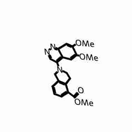 COC(=O)c1cccc2c1CCN(c1cnnc3cc(OC)c(OC)cc13)C2